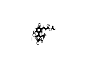 CC(C)OC(=O)C=Cc1cc(-c2c(C(F)(F)F)n(C)c(=O)[nH]c2=O)c(F)cc1Cl